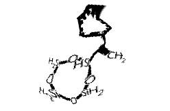 C=C(c1ccccc1)[SiH]1O[SiH2]O[SiH2]O[SiH2]O1